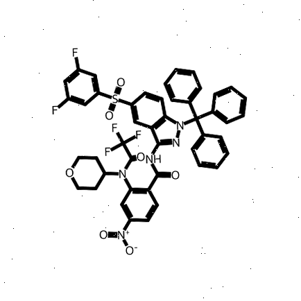 O=C(Nc1nn(C(c2ccccc2)(c2ccccc2)c2ccccc2)c2ccc(S(=O)(=O)c3cc(F)cc(F)c3)cc12)c1ccc([N+](=O)[O-])cc1N(C(=O)C(F)(F)F)C1CCOCC1